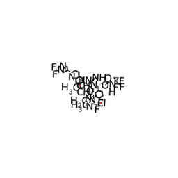 C=NN(/C(=N\C)C(F)F)c1cc([C@@H](COC(=O)NC2(C(F)(F)F)CC2)N2C(=N)N[C@](CC(C)(C)C)(c3ccc4nc(-c5cnn(C(F)F)c5)ccc4c3)C2=O)ccc1Cl